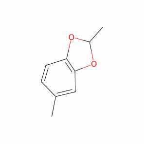 Cc1ccc2c(c1)OC(C)O2